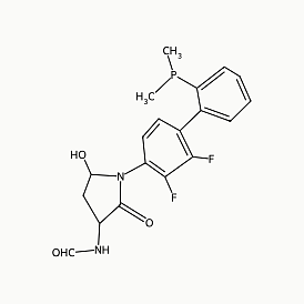 CP(C)c1ccccc1-c1ccc(N2C(=O)C(NC=O)CC2O)c(F)c1F